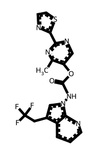 Cc1nc(-c2nccs2)ncc1OC(=O)Nn1cc(CC(F)(F)F)c2cccnc21